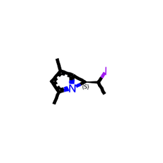 Cc1cc(C)n2c1[C@H]2C(C)I